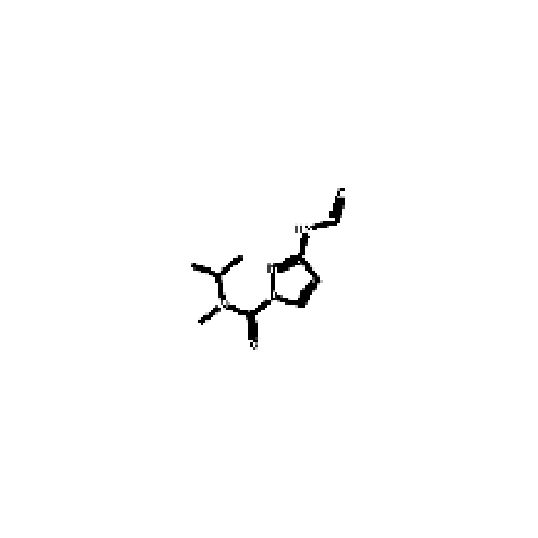 CC(C)N(C)C(=O)n1ccc(NC=O)n1